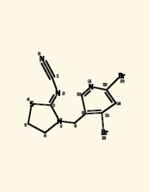 N#CN=C1SCCN1Cc1cnc(Br)cc1Br